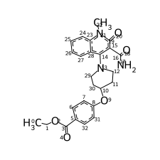 CCOC(=O)c1ccc(OC2CCN(c3c(C(N)=O)c(=O)n(C)c4ccccc34)CC2)cc1